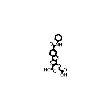 O=C(O)COc1c(C(=O)O)sc2c1sc1cc(C(=O)NC3CCCCC3)ccc12